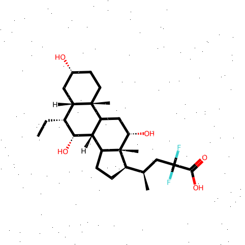 CC[C@H]1[C@@H](O)[C@H]2C3CC[C@H]([C@H](C)CC(F)(F)C(=O)O)[C@@]3(C)[C@@H](O)CC2[C@@]2(C)CC[C@@H](O)C[C@@H]12